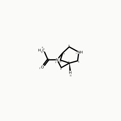 CC(=O)N1C[C@H]2CNCC1C2